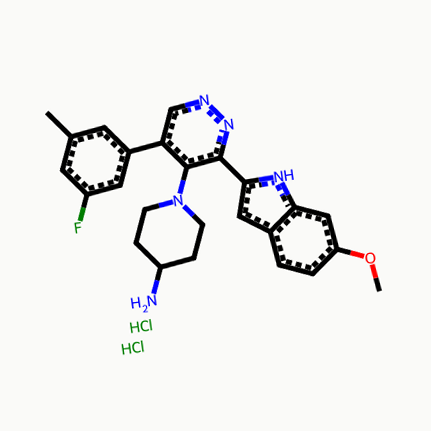 COc1ccc2cc(-c3nncc(-c4cc(C)cc(F)c4)c3N3CCC(N)CC3)[nH]c2c1.Cl.Cl